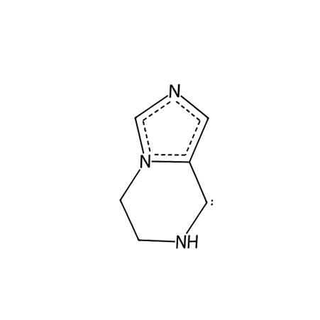 [C]1NCCn2cncc21